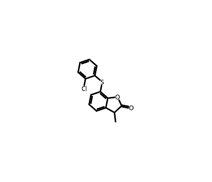 CC1C(=O)Oc2c(Sc3ccccc3Cl)cccc21